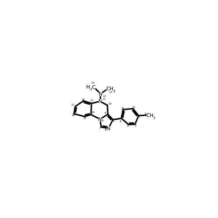 Cc1ccc(-c2ncn3c2CN(N(C)C)c2ccccc2-3)cc1